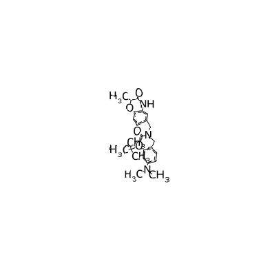 CC1Oc2ccc(CN(Cc3ccc(N(C)C)cc3)C(=O)OC(C)(C)C)cc2NC1=O